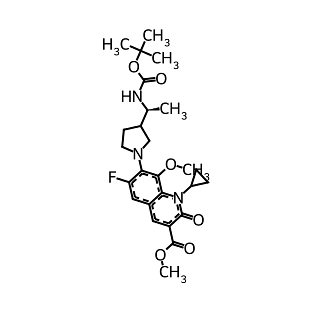 COC(=O)c1cc2cc(F)c(N3CCC([C@H](C)NC(=O)OC(C)(C)C)C3)c(OC)c2n(C2CC2)c1=O